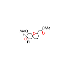 COC(=O)CC1CCCC2(C[C@@H](OC)[C@@H]3O[C@@H]3C2)O1